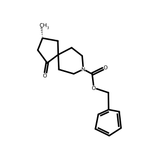 C[C@H]1CC(=O)C2(CCN(C(=O)OCc3ccccc3)CC2)C1